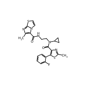 Cc1nc(C(=O)N(CCNC(=O)c2c(C)nc3sccn23)C2CC2)c(-c2ccccc2F)s1